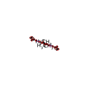 CC1(C)c2cc(-c3ccc(/C=C/c4ccc(-c5ccc6c(c5)c5ccccc5n6-c5cccc6ccccc56)cc4)cc3)ccc2-c2cc3c(cc21)-c1ccc(-c2ccc(/C=C/c4ccc(-c5ccc6c(c5)c5ccccc5n6-c5cccc6ccccc56)cc4)cc2)cc1C3(C)C